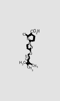 CC1C(C)(C)C1(C)CCOc1ccn(-c2ccc(C(=O)O)c(Cl)n2)n1